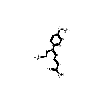 CCCC(=CC=CC(=O)O)c1ccc(OC)cc1